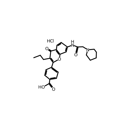 CCCc1c(-c2ccc(C(=O)O)cc2)oc2cc(NC(=O)CN3CCCCC3)ccc2c1=O.Cl